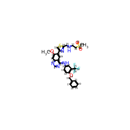 COc1cc2ncnc(Nc3ccc(OCc4ccccc4)c(C(F)(F)F)c3)c2cc1-c1csc(CNCCS(C)(=O)=O)n1